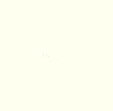 CC1(C)OCC(COc2ccccc2CNC(=O)c2cccc(Cl)c2Cl)O1